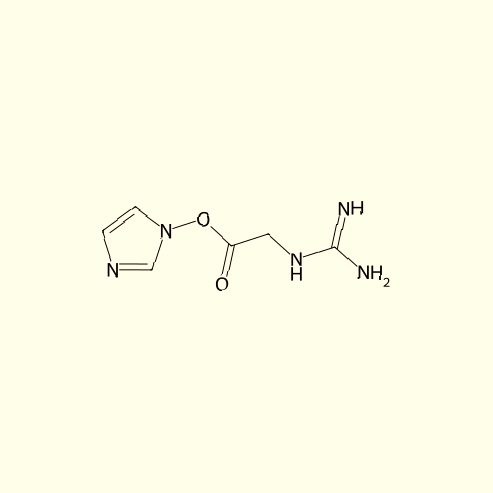 N=C(N)NCC(=O)On1ccnc1